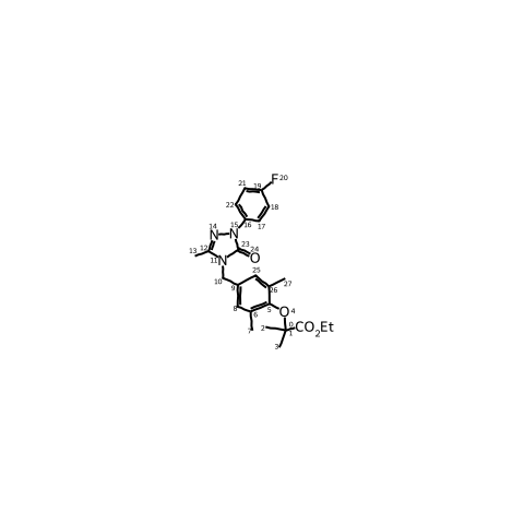 CCOC(=O)C(C)(C)Oc1c(C)cc(Cn2c(C)nn(-c3ccc(F)cc3)c2=O)cc1C